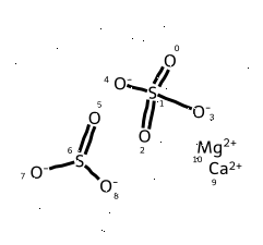 O=S(=O)([O-])[O-].O=S([O-])[O-].[Ca+2].[Mg+2]